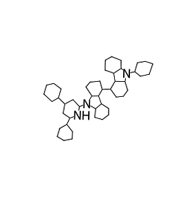 C1CCC(C2CC(C3CCCCC3)NC(N3C4CCCCC4C4C(C5CCCC6C5C5CCCCC5N6C5CCCCC5)CCCC43)C2)CC1